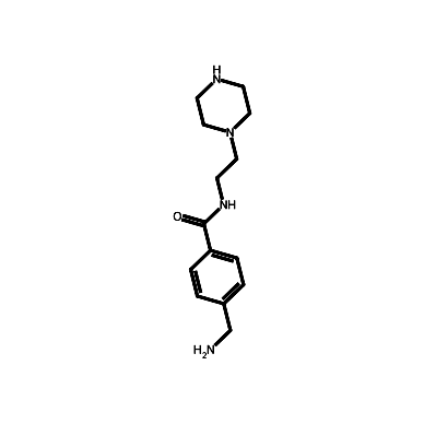 NCc1ccc(C(=O)NCCN2CCNCC2)cc1